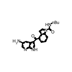 CCCCNC(=O)n1ccc2c(C(=O)c3c[nH]c4ncc(N)cc34)cccc21